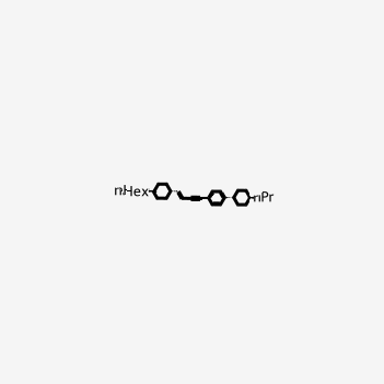 CCCCCC[C@H]1CC[C@H](C=CC#Cc2ccc([C@H]3CC[C@H](CCC)CC3)cc2)CC1